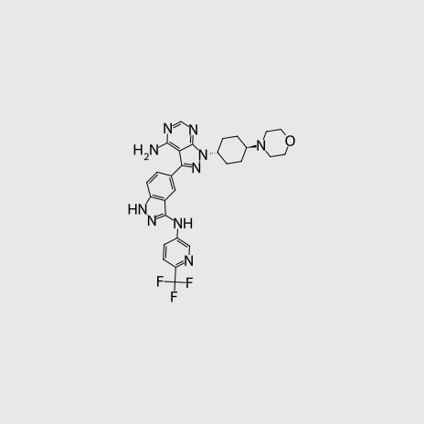 Nc1ncnc2c1c(-c1ccc3[nH]nc(Nc4ccc(C(F)(F)F)nc4)c3c1)nn2[C@H]1CC[C@H](N2CCOCC2)CC1